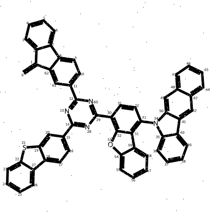 C=C1c2ccccc2-c2ccc(-c3nc(-c4ccc5c(c4)sc4ccccc45)nc(-c4ccc(-n5c6ccccc6c6cc7ccccc7cc65)c5c4oc4ccccc45)n3)cc21